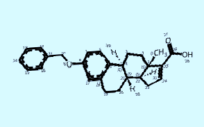 C[C@]12CC[C@@H]3c4ccc(OCc5ccccc5)cc4CC[C@H]3[C@@H]1CC=C2C(=O)O